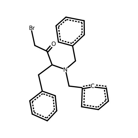 O=C(CBr)C(Cc1ccccc1)N(Cc1ccccc1)Cc1ccccc1